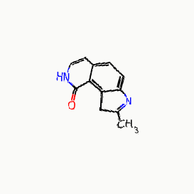 CC1=Nc2ccc3cc[nH]c(=O)c3c2C1